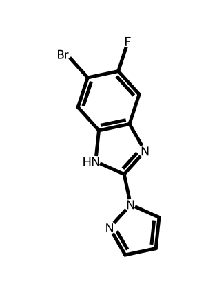 Fc1cc2nc(-n3cccn3)[nH]c2cc1Br